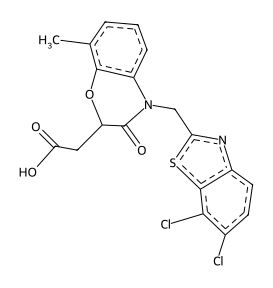 Cc1cccc2c1OC(CC(=O)O)C(=O)N2Cc1nc2ccc(Cl)c(Cl)c2s1